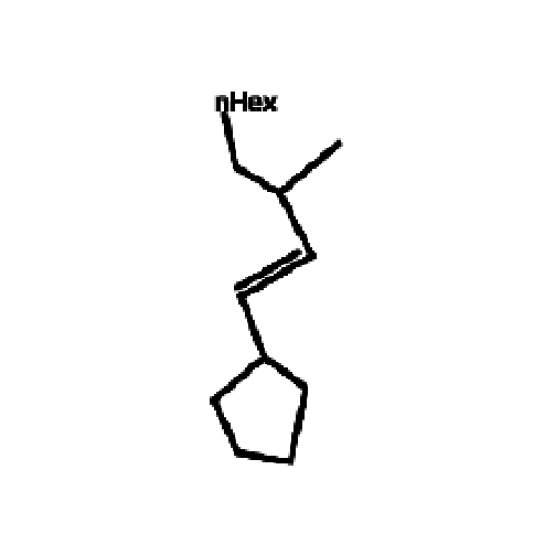 CCCCCCCC(C)C=CC1CCCC1